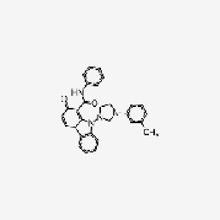 Cc1cccc(N2CCN(N3C4=C(C(=O)Nc5ccccc5)C(=O)C=CC4c4ccccc43)C2)c1